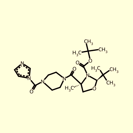 CC(C)(C)OC(=O)N1[C@@H](C(C)(C)C)OC[C@@]1(C)C(=O)N1CCN(C(=O)n2ccnc2)CC1